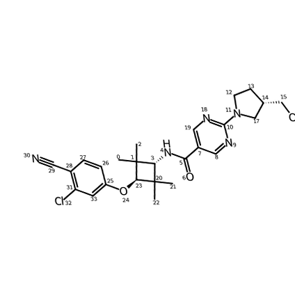 CC1(C)[C@H](NC(=O)c2cnc(N3CC[C@H](CO)C3)nc2)C(C)(C)[C@H]1Oc1ccc(C#N)c(Cl)c1